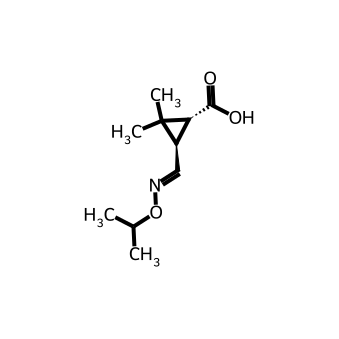 CC(C)ON=C[C@@H]1[C@@H](C(=O)O)C1(C)C